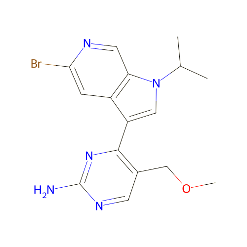 COCc1cnc(N)nc1-c1cn(C(C)C)c2cnc(Br)cc12